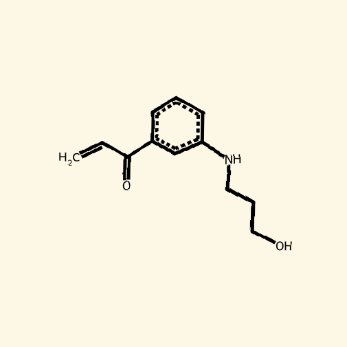 C=CC(=O)c1cccc(NCCCO)c1